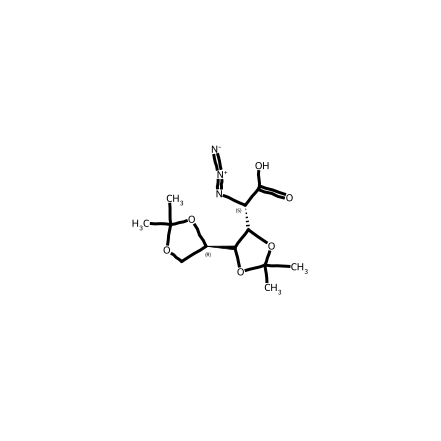 CC1(C)OC([C@H](N=[N+]=[N-])C(=O)O)C([C@H]2COC(C)(C)O2)O1